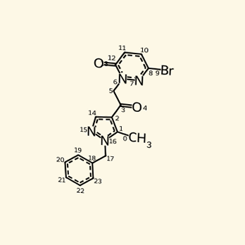 Cc1c(C(=O)Cn2nc(Br)ccc2=O)cnn1Cc1ccccc1